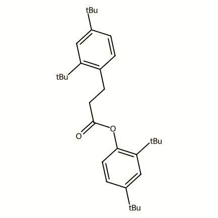 CC(C)(C)c1ccc(CCC(=O)Oc2ccc(C(C)(C)C)cc2C(C)(C)C)c(C(C)(C)C)c1